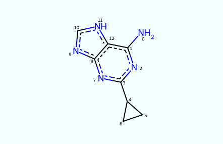 Nc1nc(C2CC2)nc2nc[nH]c12